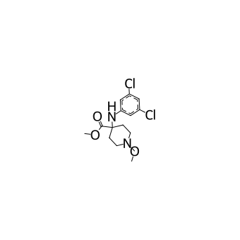 COC(=O)C1(Nc2cc(Cl)cc(Cl)c2)CCN(OC)CC1